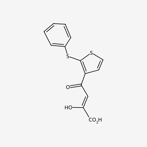 O=C(O)C(O)=CC(=O)c1ccsc1Sc1ccccc1